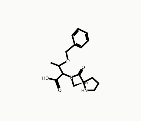 CC(OCc1ccccc1)C(C(=O)O)N1C[C@]2(CCCN2)C1=O